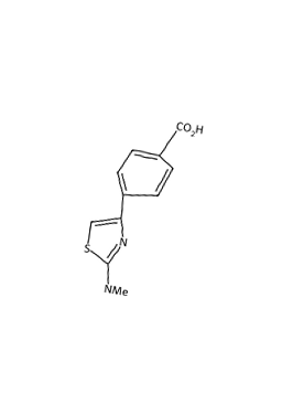 CNc1nc(-c2ccc(C(=O)O)cc2)cs1